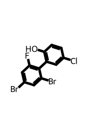 Oc1ccc(Cl)cc1-c1c(F)cc(Br)cc1Br